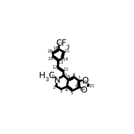 CN1CCc2cc3c(cc2C1/C=C/c1ccc(C(F)(F)F)cc1)OCO3